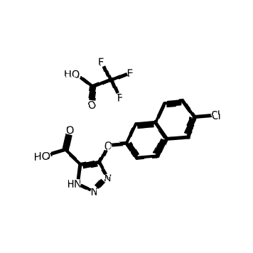 O=C(O)C(F)(F)F.O=C(O)c1[nH]nnc1Oc1ccc2cc(Cl)ccc2c1